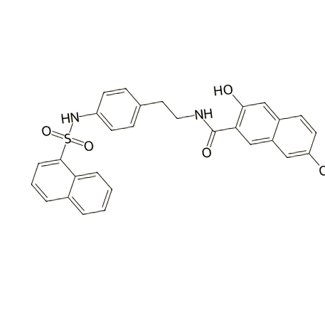 O=C(NCCc1ccc(NS(=O)(=O)c2cccc3ccccc23)cc1)c1cc2cc(O)ccc2cc1O